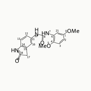 COc1ccc(OC)c(NC(=O)Nc2ccc3c(c2)CC(=O)N3)c1